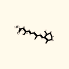 CC1=C(/C=C/C(C)=C/C=C/C(C)=C/C(=O)O)C(C)CCC1